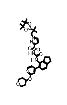 CC(C)(Cn1ccc(S(=O)(=O)NC(=O)Nc2c(-c3ccnc(OC4CCOCC4)c3)ccc3c2CCC3)n1)B1OC(C)(C)C(C)(C)O1